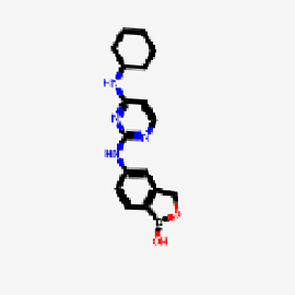 OB1OCc2cc(Nc3nccc(NC4CCCCC4)n3)ccc21